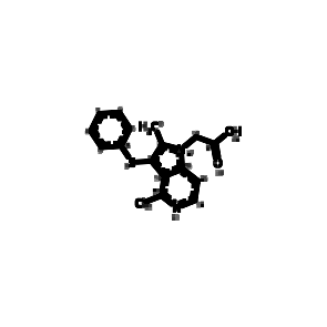 Cc1c(Sc2ccccc2)c2c(Cl)nccc2n1CC(=O)O